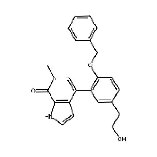 Cn1cc(-c2cc(CCO)ccc2OCc2ccccc2)c2cc[nH]c2c1=O